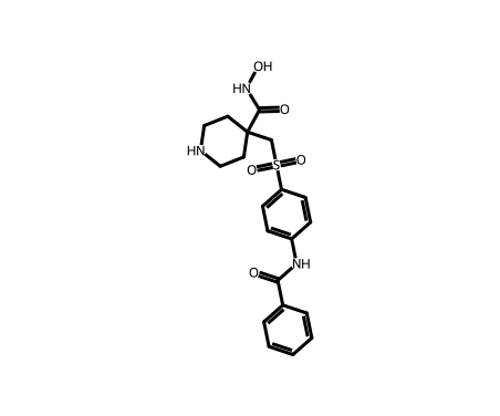 O=C(Nc1ccc(S(=O)(=O)CC2(C(=O)NO)CCNCC2)cc1)c1ccccc1